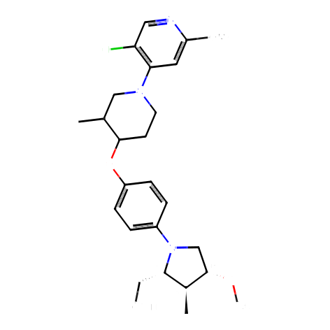 CCCCO[C@H]1CN(c2ccc(OC3CCN(c4cc(OC)ncc4Cl)CC3C)cc2)[C@@H](CC(=O)O)[C@@H]1C